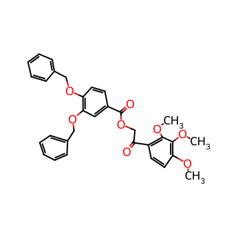 COc1ccc(C(=O)COC(=O)c2ccc(OCc3ccccc3)c(OCc3ccccc3)c2)c(OC)c1OC